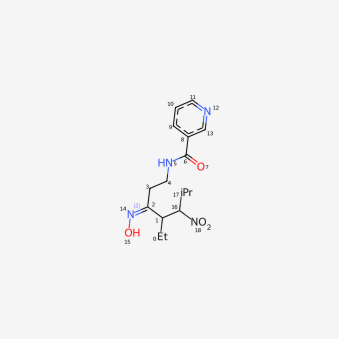 CCC(/C(CCNC(=O)c1cccnc1)=N\O)C(C(C)C)[N+](=O)[O-]